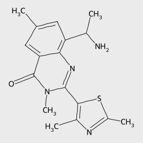 Cc1cc(C(C)N)c2nc(-c3sc(C)nc3C)n(C)c(=O)c2c1